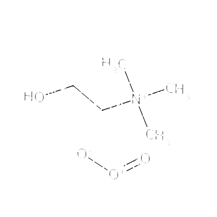 C[N+](C)(C)CCO.O=[O+][O-]